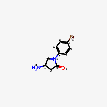 NC1CC(=O)N(c2ccc(Br)cc2)C1